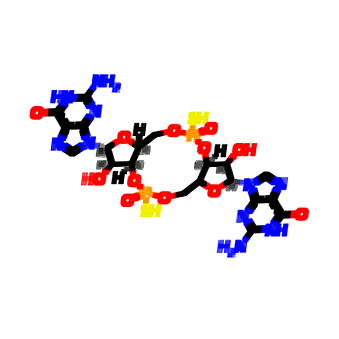 Nc1nc2c(ncn2[C@@H]2O[C@@H]3COP(=O)(S)O[C@@H]4C(COP(=O)(S)O[C@H]3[C@H]2O)O[C@@H](n2cnc3c(=O)[nH]c(N)nc32)[C@@H]4O)c(=O)[nH]1